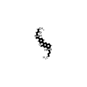 CCCCc1nc2c([nH]1)-c1cc3c(cc1CC2)-c1ccc(-c2cnc(CC(=O)CC)[nH]2)cc1OC3